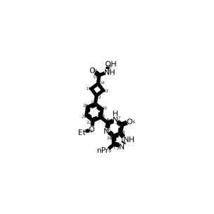 CCCc1n[nH]c2c(=O)[nH]c(-c3cc(C4CC(C(=O)NO)C4)ccc3OCC)nc12